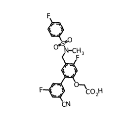 CN(Cc1cc(-c2cc(F)cc(C#N)c2)c(OCC(=O)O)cc1F)S(=O)(=O)c1ccc(F)cc1